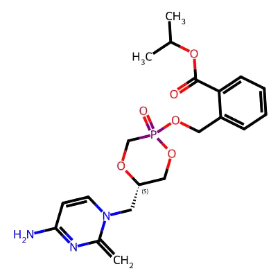 C=C1N=C(N)C=CN1C[C@H]1COP(=O)(OCc2ccccc2C(=O)OC(C)C)CO1